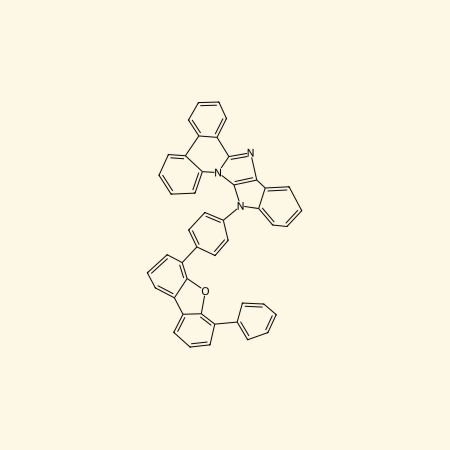 c1ccc(-c2cccc3c2oc2c(-c4ccc(-n5c6ccccc6c6nc7c8ccccc8c8ccccc8n7c65)cc4)cccc23)cc1